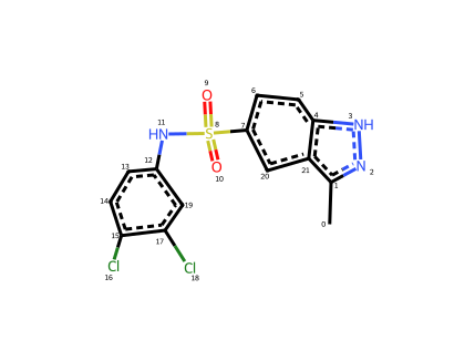 Cc1n[nH]c2ccc(S(=O)(=O)Nc3ccc(Cl)c(Cl)c3)cc12